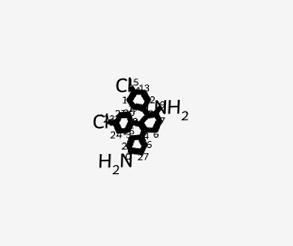 Nc1ccc(-c2ccc(N)c(-c3ccc(Cl)cc3)c2-c2ccc(Cl)cc2)cc1